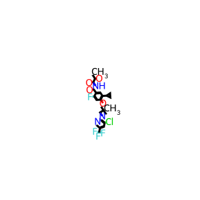 CCC(=O)C(=O)NC(=O)c1cc(C2CC2)c(OCC2(C)CN(c3ncc(C(F)(F)F)cc3Cl)C2)cc1F